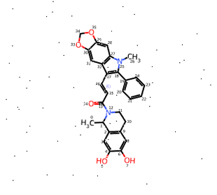 CC1c2cc(O)c(O)cc2CCN1C(=O)/C=C/c1c(-c2ccccc2)n(C)c2cc3c(cc12)OCO3